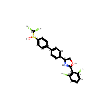 [O-][S+](c1ccc(-c2ccc(C3COC(c4c(F)cccc4F)=N3)cc2)cc1)C(F)F